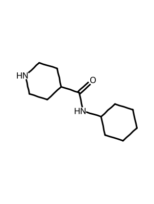 O=C(NC1CCCCC1)C1CCNCC1